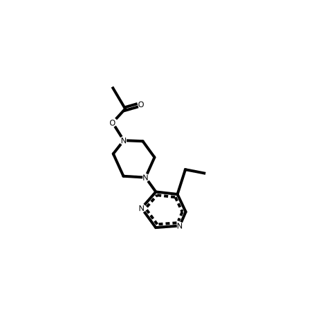 CCc1cncnc1N1CCN(OC(C)=O)CC1